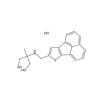 CC(CO)(CO)NCc1cc2c(s1)-c1cccc3cccc-2c13.Cl